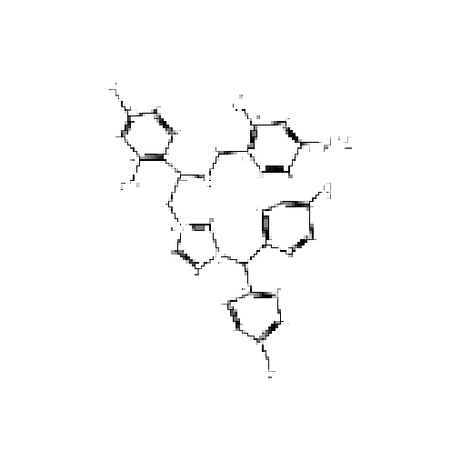 Clc1ccc(C(c2ccc(Cl)cc2)n2cc[n+](CC(OCc3ccc(Cl)cc3Cl)c3ccc(Cl)cc3Cl)c2)cc1.[Cl-]